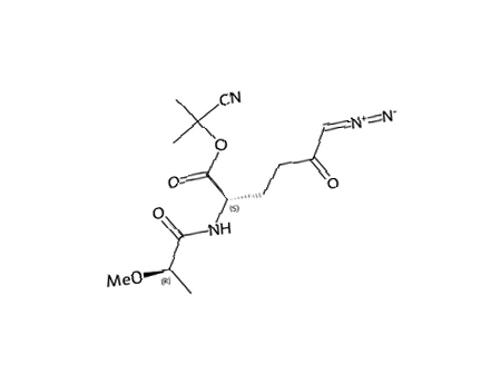 CO[C@H](C)C(=O)N[C@@H](CCC(=O)C=[N+]=[N-])C(=O)OC(C)(C)C#N